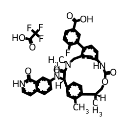 Cc1cc2ccc1[C@@H](C)COC(=O)Nc1ccc(-c3cc(C(=O)O)ccc3F)c(c1)CN(C)C(=O)[C@@H]2Nc1ccc2cc[nH]c(=O)c2c1.O=C(O)C(F)(F)F